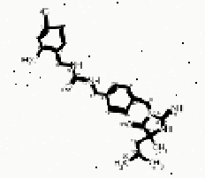 Cc1cc(Cl)ccc1CNC(=O)NCc1ccc(CN2C(=N)NC(C)(CC(C)C)C2=O)cc1